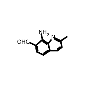 Cc1ccc2ccc(C=O)c(N)c2n1